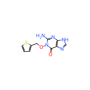 Nc1nc2[nH]cnc2c(=O)n1OCc1cccs1